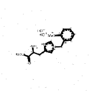 COC(=O)C(N)Cc1cn(Cc2ccccc2OC)cn1.Cl.Cl